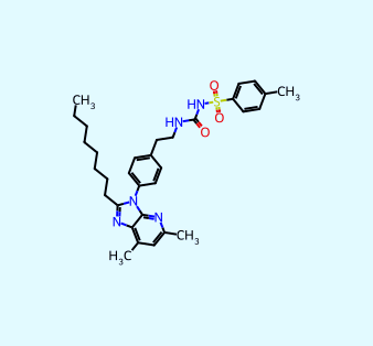 CCCCCCCCc1nc2c(C)cc(C)nc2n1-c1ccc(CCNC(=O)NS(=O)(=O)c2ccc(C)cc2)cc1